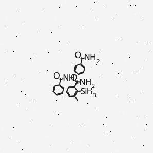 Cc1cccc(C(N)=O)c1[SiH3].NC(=O)c1ccccc1.NC(=O)c1ccccc1